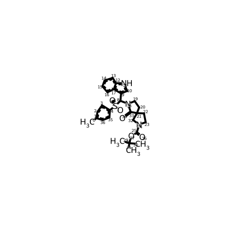 Cc1ccc(S(=O)(=O)C(c2c[nH]c3ccccc23)N2CCC3(CCN(C(=O)OC(C)(C)C)C3)C2=O)cc1